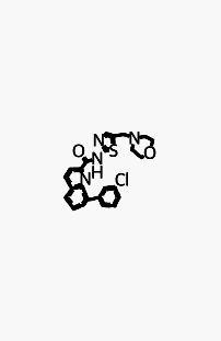 O=C(Nc1ncc(CN2CCOCC2)s1)c1ccc2cccc(-c3cccc(Cl)c3)c2n1